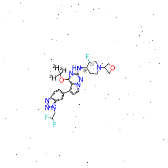 [2H]C([2H])([2H])Oc1nc(N[C@@H]2CCN(C3COC3)C[C@@H]2F)nn2ccc(-c3ccc4nnn(CC(F)F)c4c3)c12